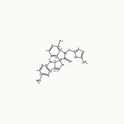 O=C1N(Cc2ccc(C(F)(F)F)o2)c2c(F)cccc2C1(CO)C1Oc2ccc(O)cc2O1